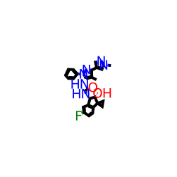 Cc1c(-c2cnn(C)c2)nn(-c2ccccc2)c1NC(=O)N[C@@H]1c2cc(F)ccc2C2(CC2)[C@H]1O